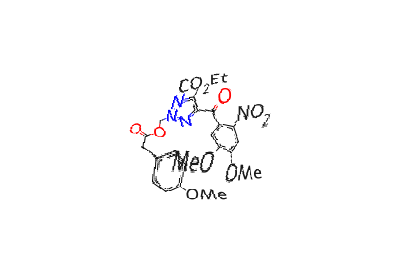 CCOC(=O)c1nn(COC(=O)Cc2ccc(OC)cc2)nc1C(=O)c1cc(OC)c(OC)cc1[N+](=O)[O-]